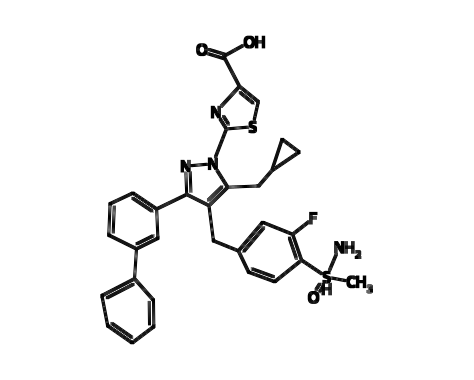 C[SH](N)(=O)c1ccc(Cc2c(-c3cccc(-c4ccccc4)c3)nn(-c3nc(C(=O)O)cs3)c2CC2CC2)cc1F